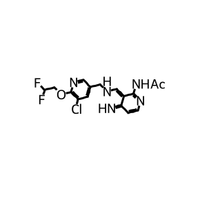 CC(=O)NC1=NC=CC(=N)/C1=C\NCc1cnc(OCC(F)F)c(Cl)c1